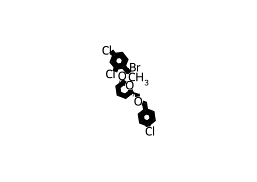 CC(Br)(O[C@H]1CCC[C@H](COCc2ccc(Cl)cc2)O1)c1ccc(Cl)cc1Cl